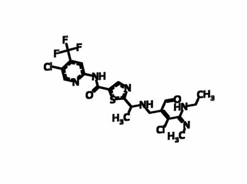 CCNC(=N/C)/C(Cl)=C(\C=O)CNC(C)c1ncc(C(=O)Nc2cc(C(F)(F)F)c(Cl)cn2)s1